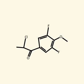 COc1c(F)cc(C(=O)C(C)Cl)cc1F